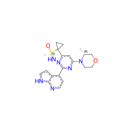 C[C@@H]1COCCN1c1cc(C2([S@@](C)(=N)=O)CC2)nc(-c2ccnc3[nH]ccc23)n1